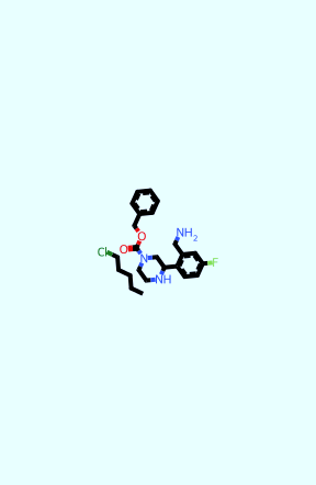 CCCCCCl.NCc1cc(F)ccc1C1CN(C(=O)OCc2ccccc2)CCN1